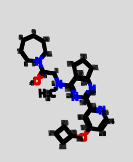 CN(CC(=O)N1CCCCCC1)c1nc(-c2cc(OC3CCC3)ccn2)nc2c1CCC2